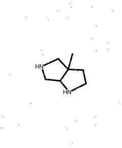 CC12CCNC1CNC2